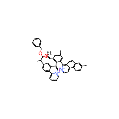 CC/C=C\c1cc(C)cc(-c2c3ccc4cc(C)ccc4c3cc[n+]2I)c1-c1c[n+]2ccccc2c2ccc(C(C)C(=O)OCc3ccccc3)cc12